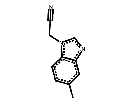 Cc1ccc2c(c1)ncn2CC#N